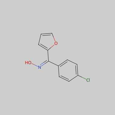 ON=C(c1ccc(Cl)cc1)c1ccco1